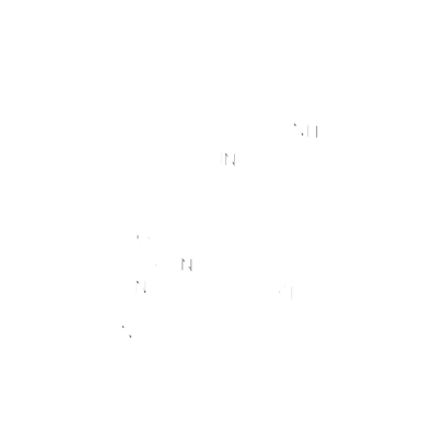 CNCCNc1ccc(N2C(=O)N(C)c3ncccc3-c3ccc(Cl)cc32)cc1